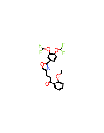 CCOc1ccccc1C(=O)CCc1coc(-c2ccc(OC(F)F)c(OC(F)F)c2)n1